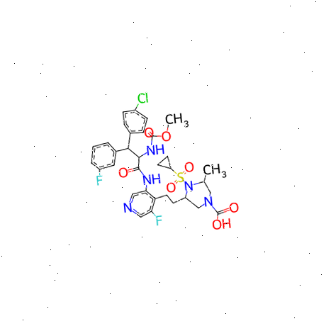 COC(=O)NC(C(=O)Nc1cncc(F)c1CCC1CN(C(=O)O)CC(C)N1S(=O)(=O)C1CC1)C(c1ccc(Cl)cc1)c1cccc(F)c1